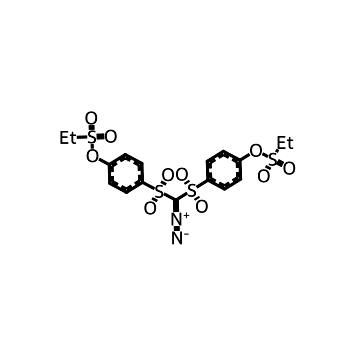 CCS(=O)(=O)Oc1ccc(S(=O)(=O)C(=[N+]=[N-])S(=O)(=O)c2ccc(OS(=O)(=O)CC)cc2)cc1